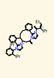 C=C(/C(=C\CC)C(C)C)n1cc[n+]2c1-c1ccccc1CCC1c3ccccc3-c3n(-c4c(C(C)C)cccc4C(C)C)cc[n+]3C1CC2=C